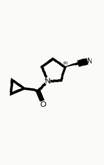 N#C[C@@H]1CCN(C(=O)C2CC2)C1